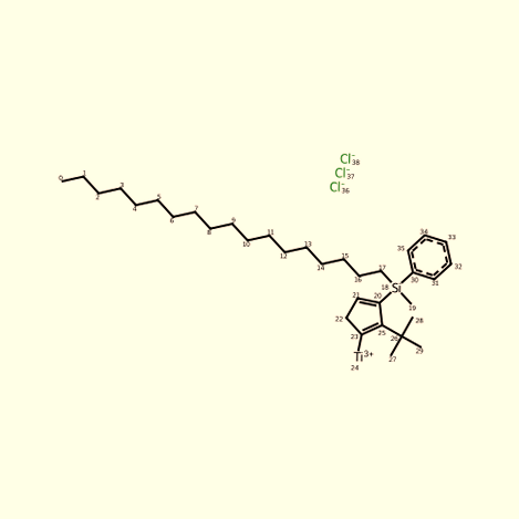 CCCCCCCCCCCCCCCCCC[Si](C)(C1=CC[C]([Ti+3])=C1C(C)(C)C)c1ccccc1.[Cl-].[Cl-].[Cl-]